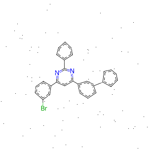 Brc1cccc(-c2cc(-c3cccc(-c4ccccc4)c3)nc(-c3ccccc3)n2)c1